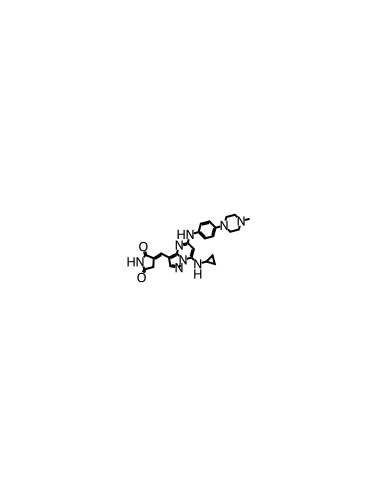 CN1CCN(c2ccc(Nc3cc(NC4CC4)n4ncc(C=C5CC(=O)NC5=O)c4n3)cc2)CC1